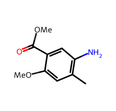 COC(=O)c1cc(N)c(C)cc1OC